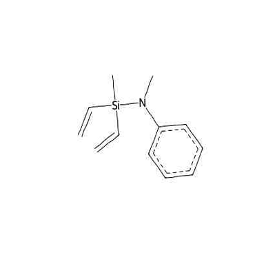 C=C[Si](C)(C=C)N(C)c1ccccc1